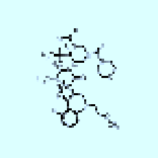 COCCCCc1c(C(=O)N(CC(C)C)[C@H]2C[C@@H](C(=O)N3CCOCC3)CN(C(=O)O)C2C(C)(C)C)nnn1-c1c(F)cccc1F